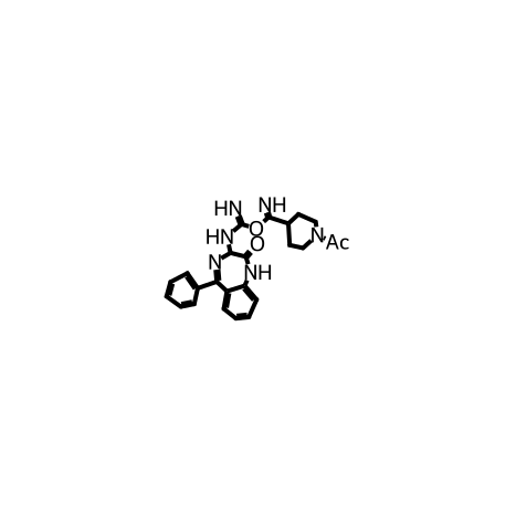 CC(=O)N1CCC(C(=N)OC(=N)NC2N=C(c3ccccc3)c3ccccc3NC2=O)CC1